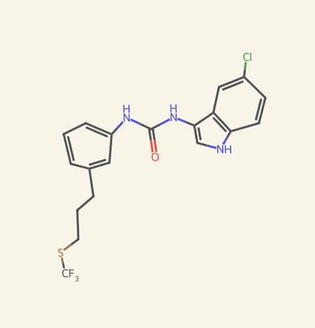 O=C(Nc1cccc(CCCSC(F)(F)F)c1)Nc1c[nH]c2ccc(Cl)cc12